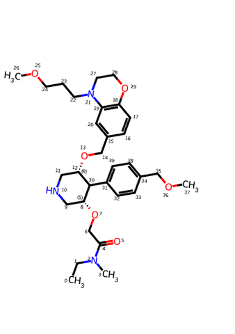 CCN(C)C(=O)CO[C@@H]1CNC[C@H](OCc2ccc3c(c2)N(CCCOC)CCO3)C1c1ccc(COC)cc1